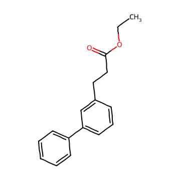 CCOC(=O)CCc1cccc(-c2ccccc2)c1